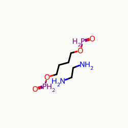 NCCN.O=[PH2]OCCCCO[PH2]=O